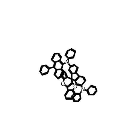 c1ccc(-c2c3ccccc3c(N(c3ccccc3)c3ccc4c(c3)C3(c5ccccc5Oc5c3oc3ccccc53)c3cc(N(c5ccccc5)c5ccccc5)ccc3-4)c3ccccc23)cc1